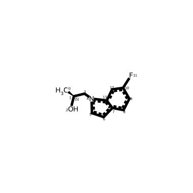 C[C@H](O)Cn1ccc2ccc(F)cc21